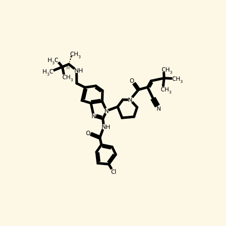 C[C@H](NCc1ccc2c(c1)nc(NC(=O)c1ccc(Cl)cc1)n2C1CCCN(C(=O)C(C#N)=CC(C)(C)C)C1)C(C)(C)C